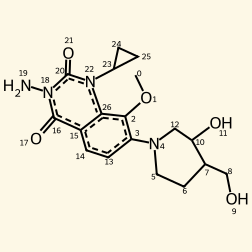 COc1c(N2CCC(CO)C(O)C2)ccc2c(=O)n(N)c(=O)n(C3CC3)c12